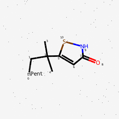 CCCCCCC(C)(C)c1cc(=O)[nH]s1